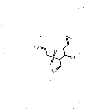 C=CCC(O)C(C=C)S(=O)(=O)CC=C